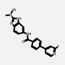 CC(C)N(C)c1nc2ccc(NC(=O)c3ccc(-c4ccnc(F)c4)cc3)cc2[nH]1